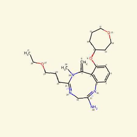 C=C1c2c(cccc2OC2CCCOCC2)/N=C(/N)C/N=C(/CCCOCC)N1C